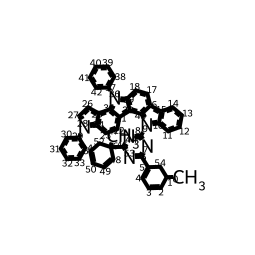 CC1C=CC=C(c2nc(-n3c4ccccc4c4ccc5c(c6ccc7c(ccn7-c7ccccc7)c6n5-c5ccccc5)c43)nc(C3(C)C=CC=CC3)n2)C1